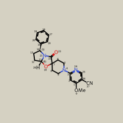 COc1cc(N2CCC3(CC2)O[C@@H]2CC[C@@H](c4ccccc4)N2C3=O)ncc1C#N